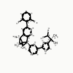 CC1(C)[C@H]2CC[C@@]1(c1cncc(-c3nc([C@](C)(O)C(F)F)co3)n1)c1nnc(-c3c(F)cccc3F)cc12